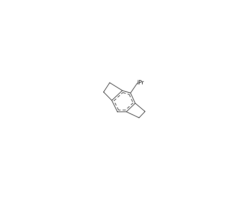 CC(C)c1c2c(cc3c1CC3)CC2